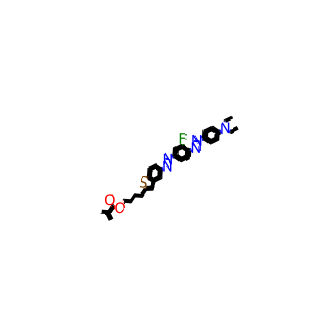 C=C(C)C(=O)OCCCCc1cc2cc(/N=N/c3ccc(/N=N/c4ccc(N(CC)CC)cc4)c(F)c3)ccc2s1